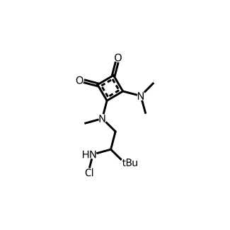 CN(C)c1c(N(C)CC(NCl)C(C)(C)C)c(=O)c1=O